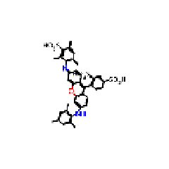 Cc1cc(C)c(Nc2ccc3c(-c4ccc(S(=O)(=O)O)cc4S(=O)(=O)O)c4cc/c(=N\c5c(C)cc(C)c(S(=O)(=O)O)c5C)cc-4oc3c2)c(C)c1